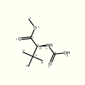 COC(=O)[C@@H](NC(=O)O)C(C)(C)C